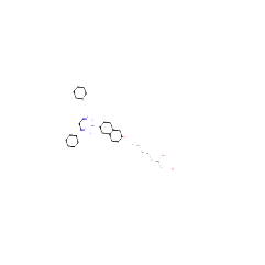 CCOC(=O)C(CCCCCOc1ccc2cc(-c3nc(OCc4ccccc4)cc(-c4ccccc4)n3)ccc2c1)C(=O)O